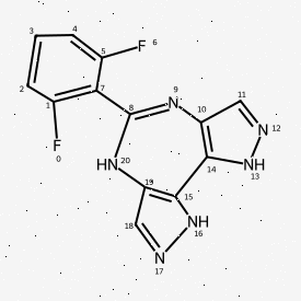 Fc1cccc(F)c1C1=Nc2cn[nH]c2-c2[nH]ncc2N1